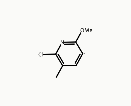 COc1[c]cc(C)c(Cl)n1